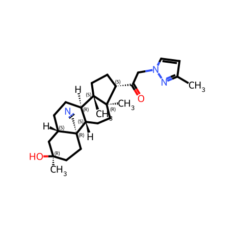 Cc1ccn(CC(=O)[C@H]2CC[C@@]3(C)[C@@H]4CC[C@H]5C[C@](C)(O)CC[C@]5(C#N)[C@H]4CC[C@]23C)n1